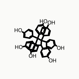 Oc1ccc(C(c2ccc(O)cc2)C(c2ccc(O)cc2)(c2ccc(O)cc2)C(c2ccc(O)cc2)(c2ccc(O)cc2)c2ccc(O)cc2)cc1